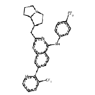 FC(F)(F)c1ccc(Nc2nc(CC3CCN4CCCC34)nc3cc(-c4ncccc4C(F)(F)F)ccc23)cc1